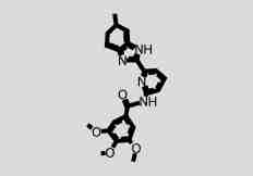 COc1cc(C(=O)Nc2cccc(-c3nc4c([nH]3)=CC(C)CC=4)n2)cc(OC)c1OC